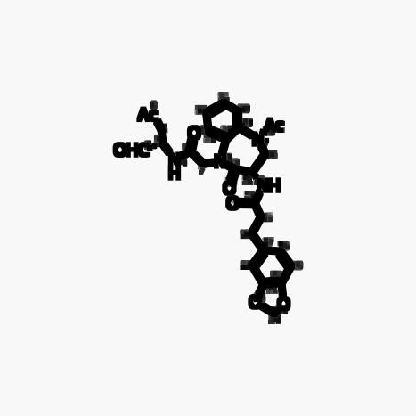 CC(=O)C[C@@H](C=O)NC(=O)CN1C(=O)[C@@H](NC(=O)CCc2ccc3c(c2)OCO3)CN(C(C)=O)c2ccccc21